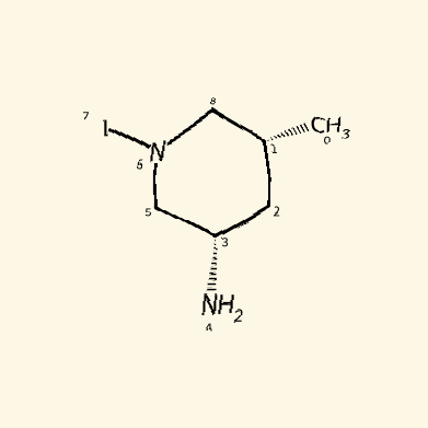 C[C@@H]1C[C@H](N)CN(I)C1